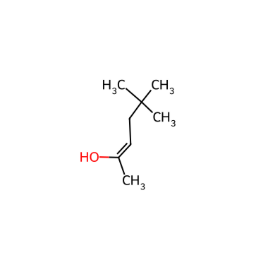 CC(O)=CCC(C)(C)C